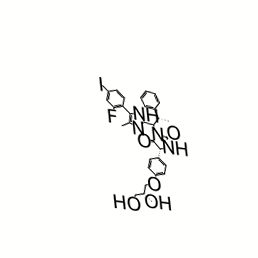 Cc1nc(C([C@@H](C)c2ccccc2)N2C(=O)N[C@H](c3ccc(OC[C@H](O)CO)cc3)C2=O)[nH]c1-c1ccc(I)cc1F